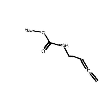 C=C=CCNC(=O)OC(C)(C)C